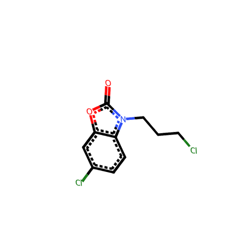 O=c1oc2cc(Cl)ccc2n1CCCCl